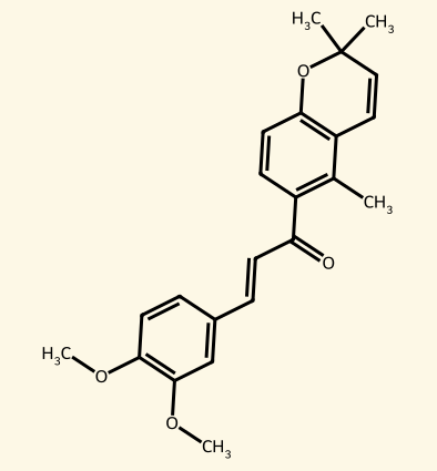 COc1ccc(/C=C/C(=O)c2ccc3c(c2C)C=CC(C)(C)O3)cc1OC